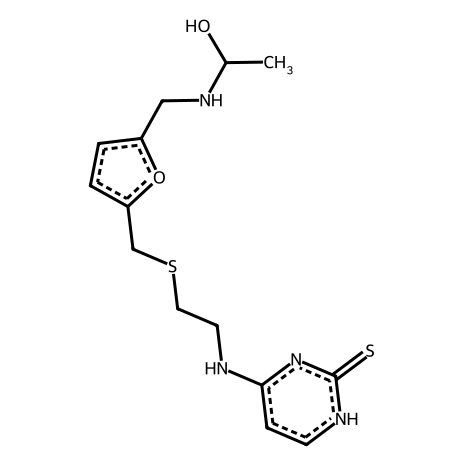 CC(O)NCc1ccc(CSCCNc2cc[nH]c(=S)n2)o1